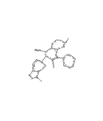 CNc1c(-c2ccc3ncn(C)c3c2)c(=O)n(-c2ccccc2)c2nc(C)ccc12